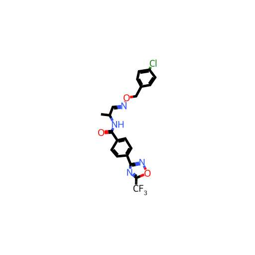 CC(C=NOCc1ccc(Cl)cc1)NC(=O)c1ccc(-c2noc(C(F)(F)F)n2)cc1